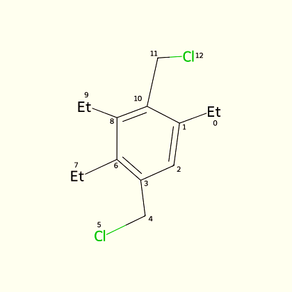 CCc1cc(CCl)c(CC)c(CC)c1CCl